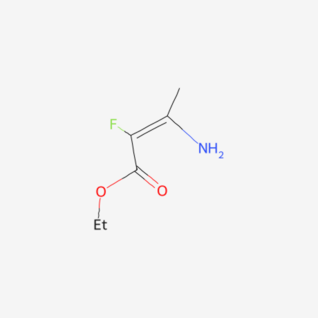 CCOC(=O)C(F)=C(C)N